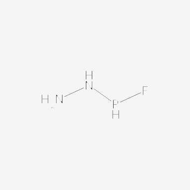 NNPF